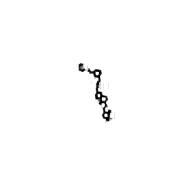 O=C(Cc1cccc(CCN2CCOCC2)c1)NCc1ccc2c(c1)CCC(CCC1CCC(=O)NC1=O)C2=O